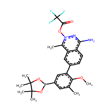 COc1c(C)cc(B2OC(C)(C)C(C)(C)O2)cc1-c1ccc2c(N)n[n+](OC(=O)C(F)(F)F)c(C)c2c1